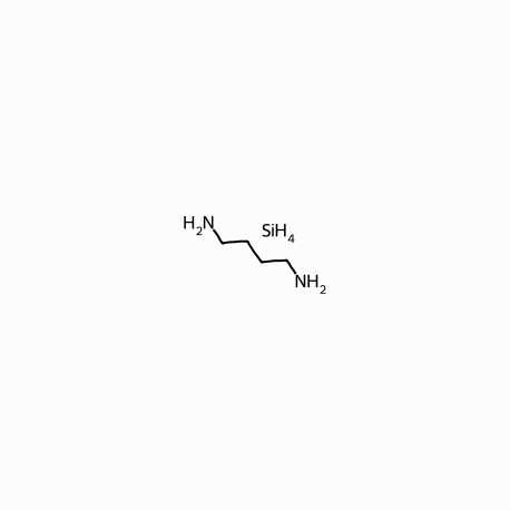 NCCCCN.[SiH4]